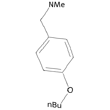 [CH2-][NH2+]Cc1ccc(OCCCC)cc1